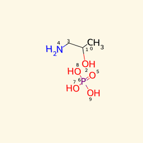 CC(O)CN.O=P(O)(O)O